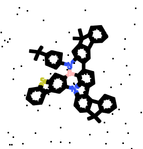 CC(C)(C)c1ccc(N2B3c4cc5sc6ccccc6c5cc4-n4c5ccc6c(c5c5ccc(c3c54)-c3cc4c(cc32)C(C)(C)c2ccccc2-4)-c2ccccc2C6(C)C)cc1